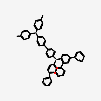 Cc1ccc(N(c2ccc(C)cc2)c2ccc(-c3ccc(N(c4ccc(-c5ccccc5)cc4)c4ccc(-c5ccccc5)cc4-c4ccccc4)cc3)cc2)cc1